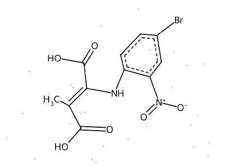 CC(C(=O)O)=C(Nc1ccc(Br)cc1[N+](=O)[O-])C(=O)O